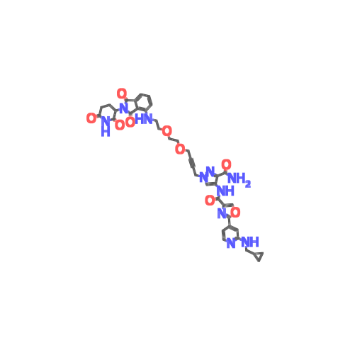 NC(=O)c1nn(CC#CCOCCOCCNc2cccc3c2C(=O)N(C2CCC(=O)NC2=O)C3=O)cc1NC(=O)c1coc(-c2ccnc(NCC3CC3)c2)n1